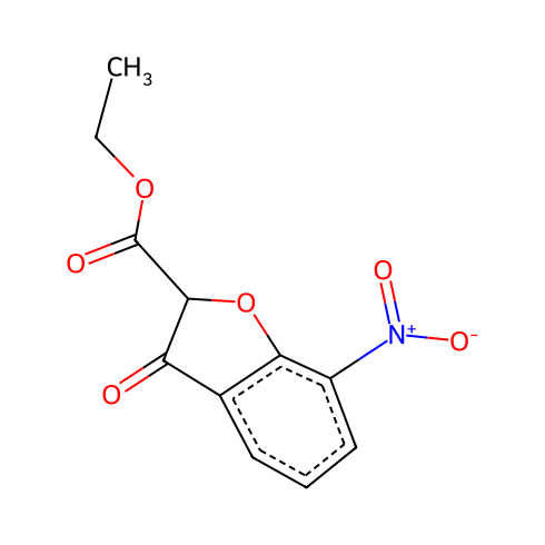 CCOC(=O)C1Oc2c(cccc2[N+](=O)[O-])C1=O